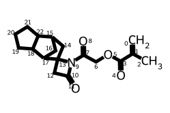 C=C(C)C(=O)OCC(=O)N1C(=O)CC12CC1CC2C2CCCC12